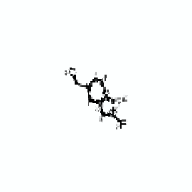 O=Cc1ccc2sc(F)cc2c1